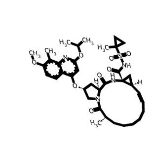 COc1ccc2c(O[C@@H]3C[C@H]4C(=O)N[C@]5(C(=O)NS(=O)(=O)C6(C)CC6)C[C@H]5/C=C\CCCCC[C@H](C)C(=O)N4C3)cc(OC(C)C)nc2c1C